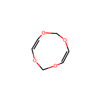 C1=COCOC=COCO1